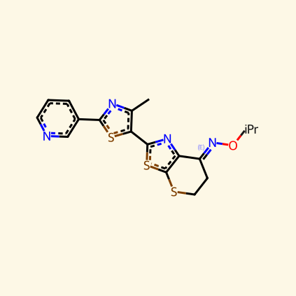 Cc1nc(-c2cccnc2)sc1-c1nc2c(s1)SCC/C2=N\OC(C)C